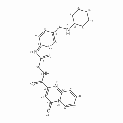 O=C(NCc1cn2cc(CNC3CCCCC3)ccc2n1)c1cc(=O)n2ccccc2n1